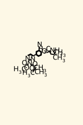 COC(=O)N(C(=O)OC(C)(C)C)c1nccc(-c2ccc(OCC(C)(N)CC(C)C)c(C#N)c2)n1